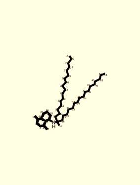 C=c1ccc(=C)c2c(NC(C)(CCCCCCCCCCCCCCCCC)CCCCCCCCCCCCCCCCC)cccc12